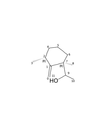 C=C1[C@H](C)CCC[C@@]1(C)C(C)O